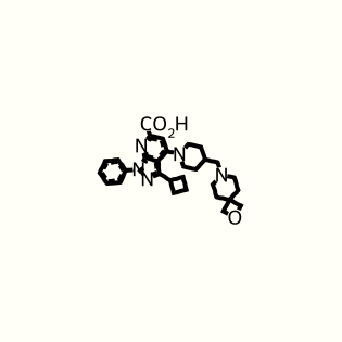 O=C(O)c1cc(N2CCC(CN3CCC4(CC3)COC4)CC2)c2c(C3CCC3)nn(-c3ccccc3)c2n1